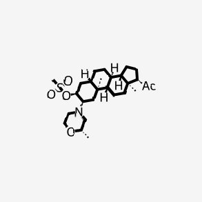 CC(=O)[C@H]1CC[C@H]2[C@@H]3CC[C@H]4C[C@H](OS(C)(=O)=O)[C@@H](N5CCO[C@@H](C)C5)C[C@]4(C)[C@H]3CC[C@]12C